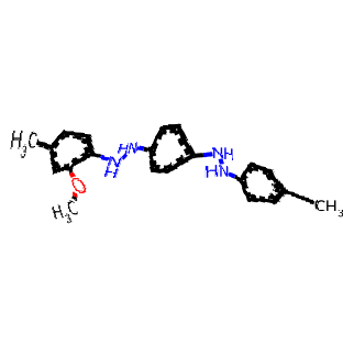 COc1cc(C)ccc1NNc1ccc(NNc2ccc(C)cc2)cc1